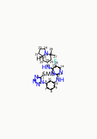 CSc1nnnn1-c1cccc(Nc2ncc(F)c(N[C@@H]3C[C@@H]4CCCN4C(C)(C)C3)n2)c1